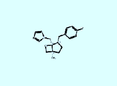 C[C@@]12CC[C@H](Cc3ccc(F)cc3)[C@]1(Cn1cncn1)OC2